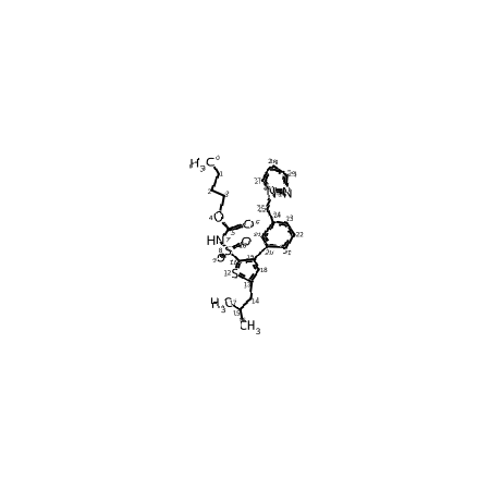 CCCCOC(=O)NS(=O)(=O)c1sc(CC(C)C)cc1-c1cccc(Cn2cccn2)c1